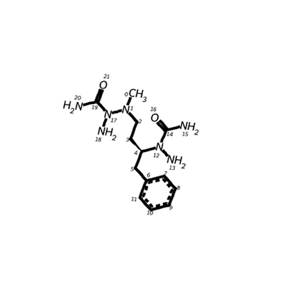 CN(CC[C@H](Cc1ccccc1)N(N)C(N)=O)N(N)C(N)=O